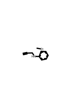 C#CCNc1ccccc1.CCC